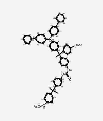 COc1ccc(C(C)(c2ccc(OC(=O)Oc3ccc(C(C)(C)c4ccc(OOC(C)=O)cc4)cc3)cc2)c2ccc(N(c3ccc(-c4ccccc4)cc3)c3ccc(-c4ccccc4)cc3)cc2)cc1